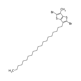 CCCCCCCCCCCCCCCCCCCCc1c(Br)sc2c(C)c(Br)sc12